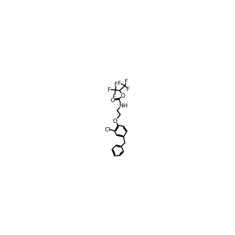 O=C(NCCOc1ccc(Cc2ccccc2)cc1Cl)OC(C(F)(F)F)C(F)(F)F